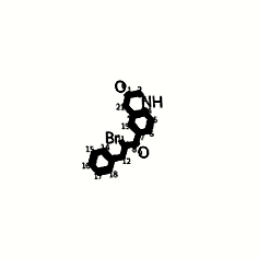 O=C1CNc2ccc(C(=O)C(Br)Cc3ccccc3)cc2C1